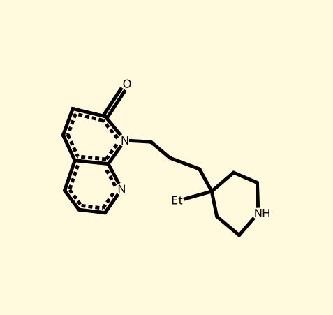 CCC1(CCCn2c(=O)ccc3cccnc32)CCNCC1